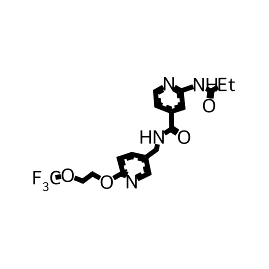 CCC(=O)Nc1cc(C(=O)NCc2ccc(OCCOC(F)(F)F)nc2)ccn1